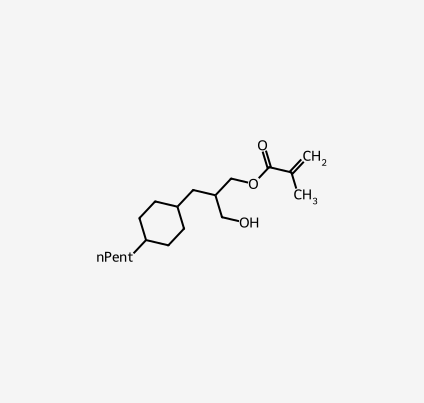 C=C(C)C(=O)OCC(CO)CC1CCC(CCCCC)CC1